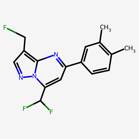 Cc1ccc(-c2cc(C(F)F)n3ncc(CF)c3n2)cc1C